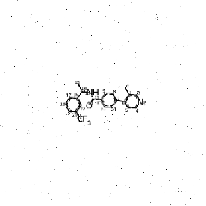 Cc1cnccc1-c1ccc(C(=O)N[C@H](C)c2cccc(C(F)(F)F)c2)cc1